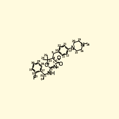 C[C@H](NC1=NS(=O)(=O)C(Cc2ccc(N3CCN(C)CC3)cc2)C(C)(C)O1)c1ccccc1F